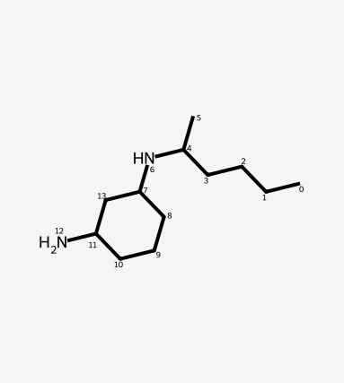 CCCCC(C)NC1CCCC(N)C1